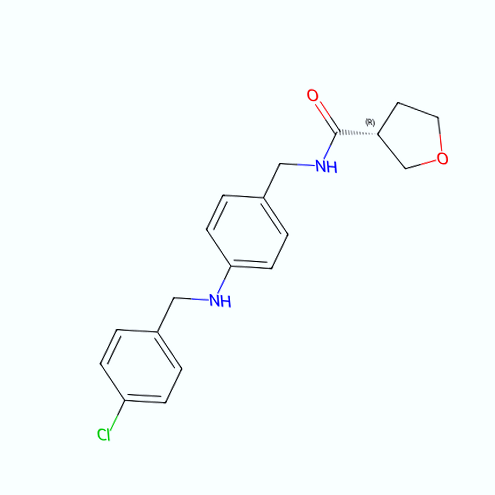 O=C(NCc1ccc(NCc2ccc(Cl)cc2)cc1)[C@@H]1CCOC1